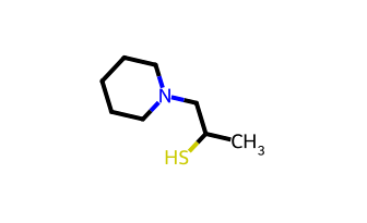 CC(S)CN1CCCCC1